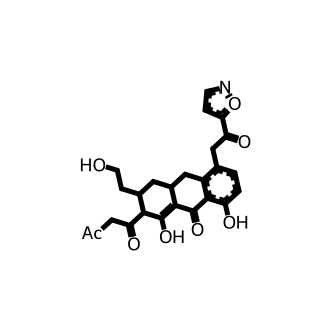 CC(=O)CC(=O)C1C(O)=C2C(=O)c3c(O)ccc(CC(=O)c4ccno4)c3CC2CC1CCO